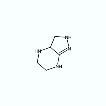 C1CNC2CNN=C2N1